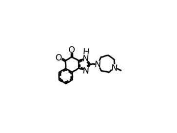 CN1CCCN(c2nc3c([nH]2)C(=O)C(=O)c2ccccc2-3)CC1